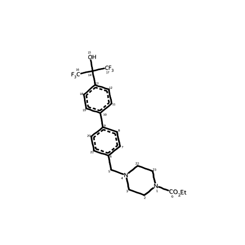 CCOC(=O)N1CCN(Cc2ccc(-c3ccc(C(O)(C(F)(F)F)C(F)(F)F)cc3)cc2)CC1